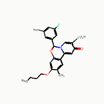 COCCCOc1cc2c(cc1C)-c1cc(=O)c(C(=O)O)cn1C(c1cc(F)cc(OC)c1)O2